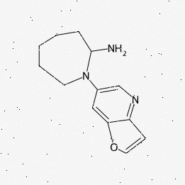 NC1CCCCCN1c1cnc2ccoc2c1